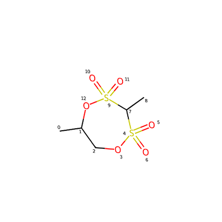 CC1COS(=O)(=O)C(C)S(=O)(=O)O1